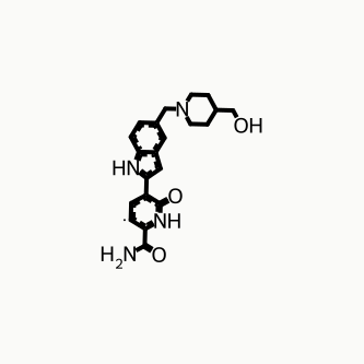 NC(=O)c1[c]cc(-c2cc3cc(CN4CCC(CO)CC4)ccc3[nH]2)c(=O)[nH]1